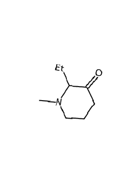 CCC1C(=O)CCCN1C